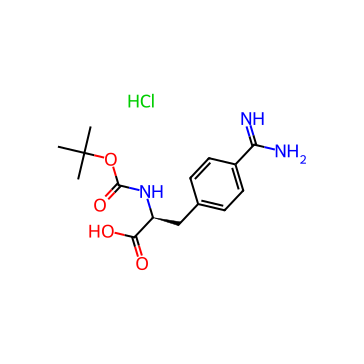 CC(C)(C)OC(=O)N[C@@H](Cc1ccc(C(=N)N)cc1)C(=O)O.Cl